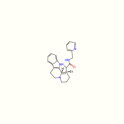 CC[C@@]1(C(C)C(=O)NCc2ccccn2)CCCN2CCc3c([nH]c4ccccc34)[C@@H]21